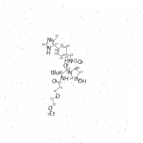 CCOCCOCCC(=O)NC(C(=O)N1C[C@H](O)C[C@H]1C(=O)NCc1ccc(-c2[nH]cnc2C)cc1)C(C)(C)C